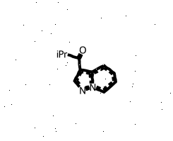 CC(C)C(=O)c1cnn2ccccc12